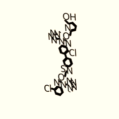 Cn1nnnc1-n1c(OCc2nc3ccc(-c4ccc5c(nc(OCc6cccc(CO)n6)n5-c5nnnn5C)c4Cl)cc3s2)nc2c(Cl)cccc21